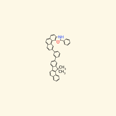 CC1(C)c2cc(-c3cccc(-c4ccc5ccc6ccc7c(c6c5c4)OC(c4ccccc4)N7)c3)ccc2-c2ccc3ccccc3c21